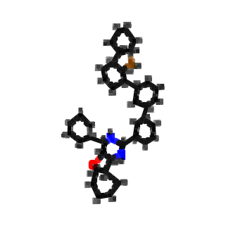 c1ccc(-c2nc(-c3cccc(-c4cccc(-c5cccc6c5sc5ccccc56)c4)c3)nc3c2oc2ccccc23)cc1